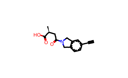 C#Cc1ccc2c(c1)CN(C(=O)C[C@H](C)C(=O)O)C2